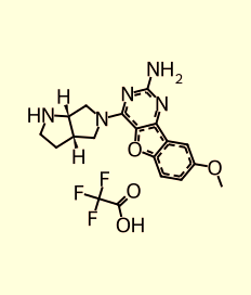 COc1ccc2oc3c(N4C[C@@H]5CCN[C@@H]5C4)nc(N)nc3c2c1.O=C(O)C(F)(F)F